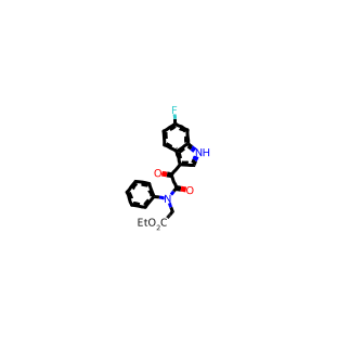 CCOC(=O)CN(C(=O)C(=O)c1c[nH]c2cc(F)ccc12)c1ccccc1